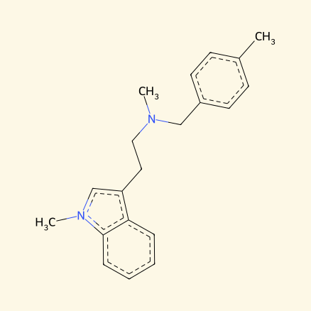 Cc1ccc(CN(C)CCc2cn(C)c3ccccc23)cc1